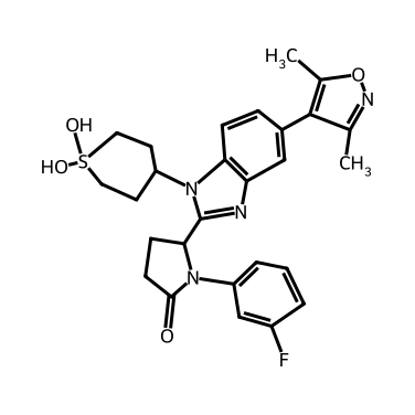 Cc1noc(C)c1-c1ccc2c(c1)nc(C1CCC(=O)N1c1cccc(F)c1)n2C1CCS(O)(O)CC1